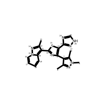 Cc1nn(C)c(C)c1-c1nc(-c2c(C)nn3ccccc23)sc1-c1nc[nH]n1